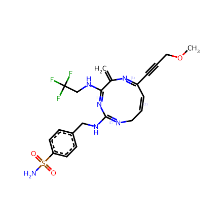 C=C1/N=C(C#CCOC)\C=C/C/N=C(NCc2ccc(S(N)(=O)=O)cc2)\N=C/1NCC(F)(F)F